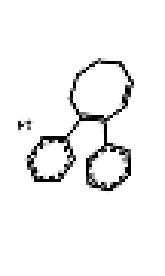 C1=CC(c2ccccc2)=C(c2ccccc2)CCCC1.[Pt]